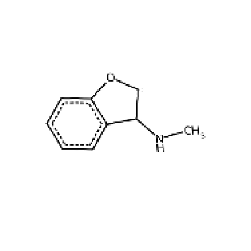 CNC1[C]Oc2ccccc21